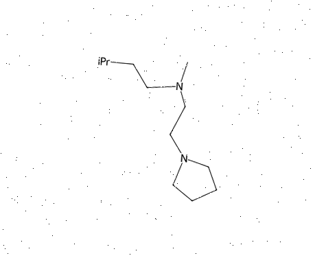 CC(C)CCN(C)CCN1CCCC1